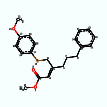 COC(=O)/C=C(/CCCc1ccccc1)CSc1ccc(OC)cc1